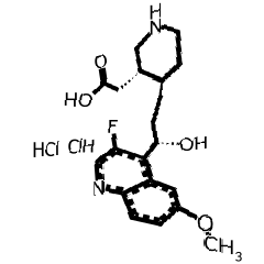 COc1ccc2ncc(F)c([C@@H](O)CC[C@@H]3CCNC[C@H]3CC(=O)O)c2c1.Cl.Cl